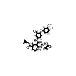 O=C(NC1CC1)C1=Cc2c(ncnc2Nc2ccc(Oc3cccc(C(F)(F)F)c3)c(Cl)c2)NCC1.O=C(O)C(F)(F)F